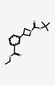 CCOC(=O)c1cccc(C2CN(C(=O)OC(C)(C)C)C2)c1